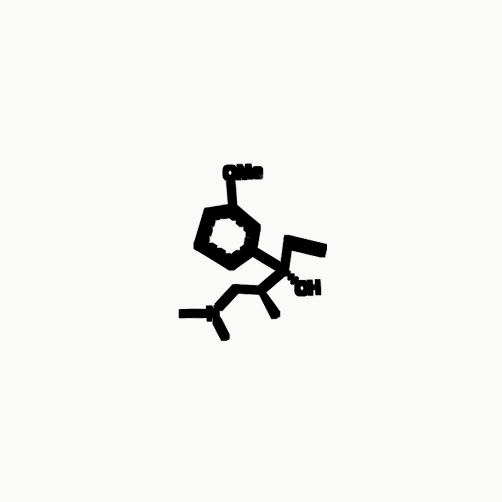 C=C[C@](O)(c1cccc(OC)c1)[C@@H](C)CN(C)C